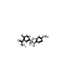 CCCCc1ccc(NS(=O)(=O)c2ccc(C)c(C(N)=O)c2)cc1